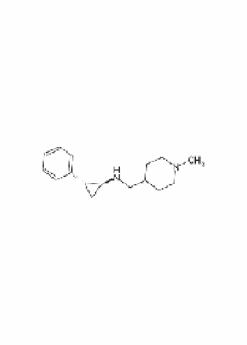 CN1CCC(CN[C@H]2C[C@@H]2c2ccccc2)CC1